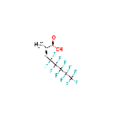 CC(=CC(F)(F)C(F)(F)C(F)(F)C(F)(F)C(F)(F)F)C(=O)O